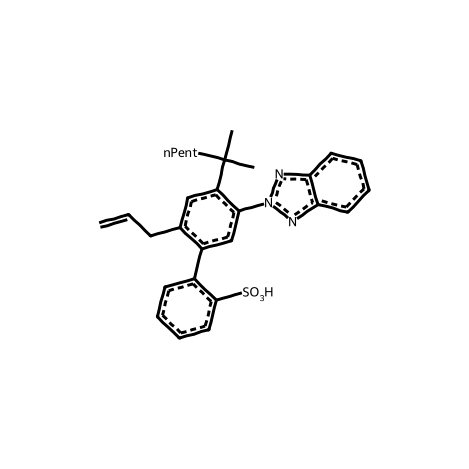 C=CCc1cc(C(C)(C)CCCCC)c(-n2nc3ccccc3n2)cc1-c1ccccc1S(=O)(=O)O